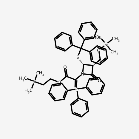 CC(C)(C)[Si](C)(C)OC[C@H]1C(=O)N(C(C(=O)OCC[Si](C)(C)C)=P(c2ccccc2)(c2ccccc2)c2ccccc2)[C@@H]1SC(c1ccccc1)(c1ccccc1)c1ccccc1